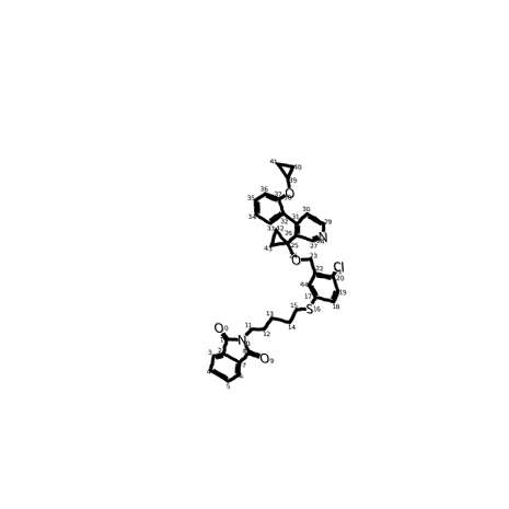 O=C1c2ccccc2C(=O)N1CCCCCSc1ccc(Cl)c(COC2(c3cnccc3-c3ccccc3OC3CC3)CC2)c1